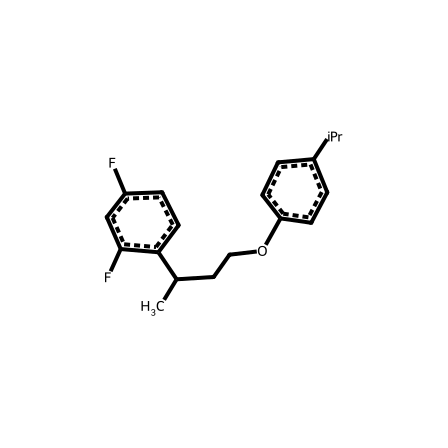 CC(C)c1ccc(OCCC(C)c2ccc(F)cc2F)cc1